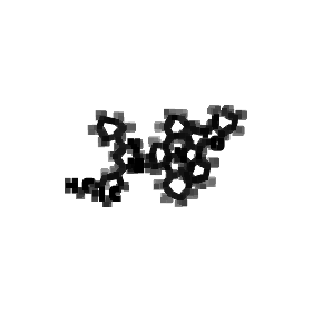 C=C/C=C(\C=C)C1C=C(C2=CCCC=C2)N=C(C2=CC(C3C=CCCCC3)=C(n3c4ccccc4c4c5oc6ccccc6c5ccc43)C(C3=CCCC=C3)C2)N1